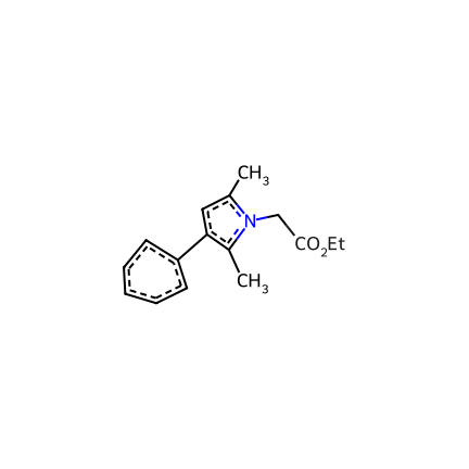 CCOC(=O)Cn1c(C)cc(-c2ccccc2)c1C